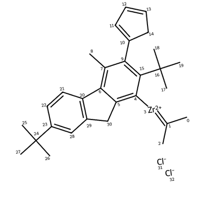 C[C](C)=[Zr+2][c]1c2c(c(C)c(C3=CC=CC3)c1C(C)(C)C)-c1ccc(C(C)(C)C)cc1C2.[Cl-].[Cl-]